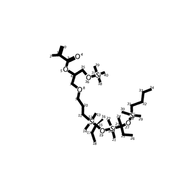 C=C(C)C(=O)OC(COCCC[Si](C)(C)[C@@](C)(CC)O[Si](C)(C)C(C)(CC)O[Si](C)(C)CCCC)CO[Si](C)(C)C